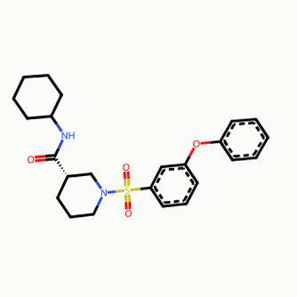 O=C(NC1CCCCC1)[C@H]1CCCN(S(=O)(=O)c2cccc(Oc3ccccc3)c2)C1